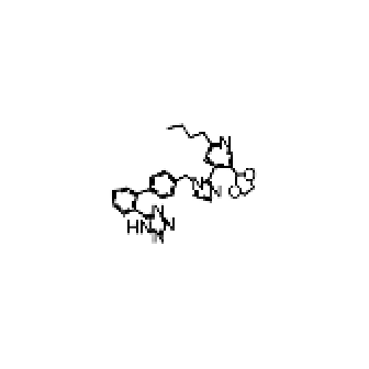 CCCCc1cc(-c2nccn2Cc2ccc(-c3ccccc3-c3nnn[nH]3)cc2)c(C2OCCO2)cn1